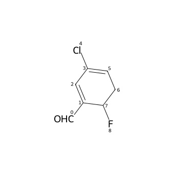 O=CC1=CC(Cl)=CCC1F